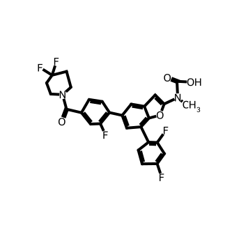 CN(C(=O)O)c1cc2cc(-c3ccc(C(=O)N4CCC(F)(F)CC4)cc3F)cc(-c3ccc(F)cc3F)c2o1